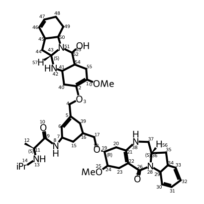 COC1=C(OCC2=CC(NC(=O)[C@H](C)NC(C)C)CC(CO[C@@H]3CC4=C(CC3OC)C(=O)N3C5C=CC=CC5C[C@H]3CN4)C2)CC2N[C@@H]3CC4C=CCCC4N3C(O)C2C1